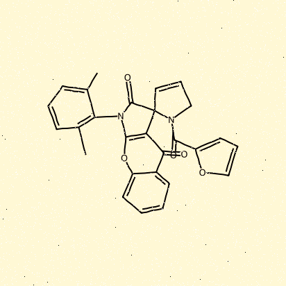 Cc1cccc(C)c1N1C(=O)C2(C=CCN2C(=O)c2ccco2)c2c1oc1ccccc1c2=O